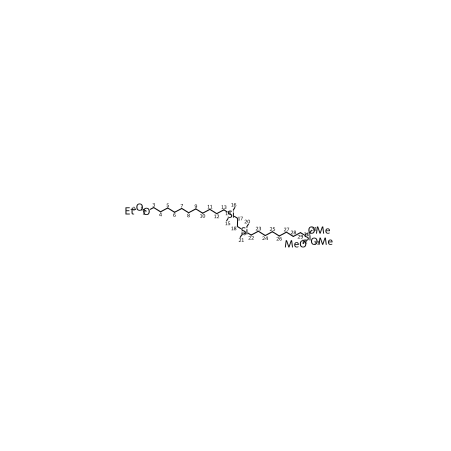 CCOOCCCCCCCCCCC[Si](C)(C)CC[Si](C)(C)CCCCCCCC[Si](OC)(OC)OC